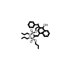 CCCOP(=O)(OCCC)C(=Cc1cc(Cc2ccccc2)c(O)c2ccccc12)P(=O)(OCCC)OCCC